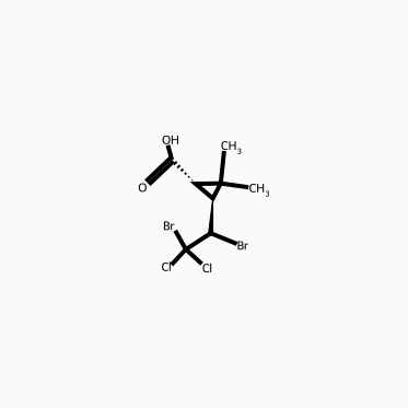 CC1(C)[C@@H](C(=O)O)[C@@H]1C(Br)C(Cl)(Cl)Br